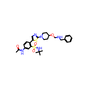 CC(=O)Nc1ccc(-c2cnc(N3CCC(OCNCc4ccccc4)CC3)s2)c(S(=O)(=O)NC(C)(C)C)c1